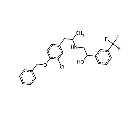 CC(Cc1ccc(OCc2ccccc2)c(Cl)c1)NCC(O)c1cccc(C(F)(F)F)c1